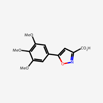 COc1cc(-c2cc(C(=O)O)no2)cc(OC)c1OC